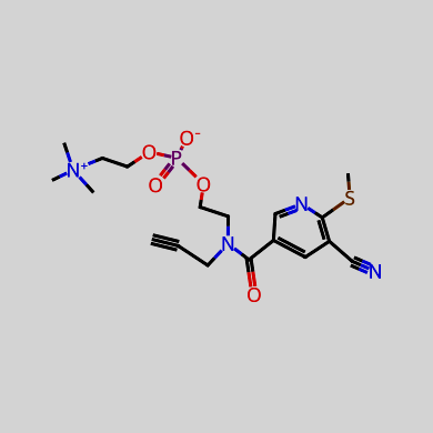 C#CCN(CCOP(=O)([O-])OCC[N+](C)(C)C)C(=O)c1cnc(SC)c(C#N)c1